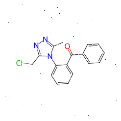 Cc1nnc(CCl)n1-c1ccccc1C(=O)c1ccccc1